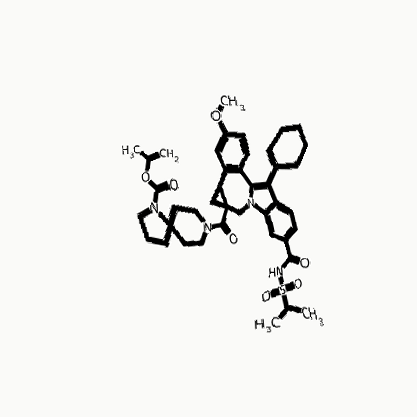 C=C(C)OC(=O)N1CCCC12CCN(C(=O)C13CC1c1cc(OC)ccc1-c1c(C4CCCCC4)c4ccc(C(=O)NS(=O)(=O)C(C)C)cc4n1C3)CC2